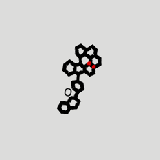 c1ccc2c(c1)ccc1c3ccc(-c4c5ccccc5c(-c5cccc6ccc7ccccc7c56)c5ccccc45)cc3oc21